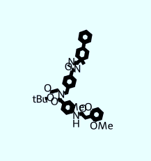 COc1cccc(OC)c1CC(=O)Nc1ccc(C(=O)N(CC(=O)OC(C)(C)C)Cc2ccc(-c3nc(C4(C)C=CC(c5ccccc5)C=C4)no3)cc2)cc1